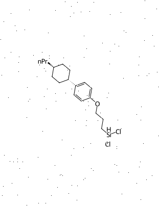 CCC[C@H]1CC[C@H](c2ccc(OCCC[SiH](Cl)Cl)cc2)CC1